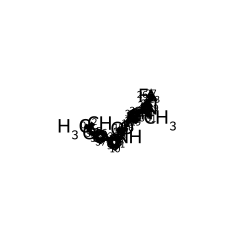 CC(C)Oc1ccc(-c2cccc(NC(=O)OCC34CCC(c5cc(C6(F)CC6)nn5C)(CC3)CC4)c2)cc1